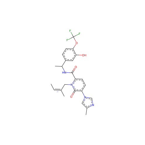 C/C=C(/C)Cn1c(C(=O)NC(C)c2ccc(OC(F)(F)F)c(O)c2)ccc(-n2cnc(C)c2)c1=O